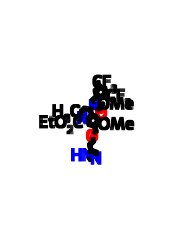 CCOC(=O)N1c2cc(COCCc3cnc[nH]3)c(OC)cc2C(N(Cc2cc(C(F)(F)F)cc(C(F)(F)F)c2)C(=O)OC)CC1C